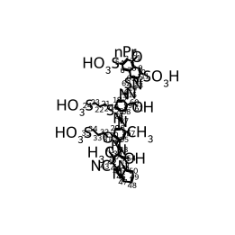 CCCOc1cc(S(=O)(=O)O)cc2c1cc(S(=O)(=O)O)c1nc(N=Nc3cc(SCCCS(=O)(=O)O)c(N=Nc4cc(OCCCS(=O)(=O)O)c(N=Nc5c(C)c(C#N)c6nc7ccccc7n6c5O)cc4C)cc3CO)sc12